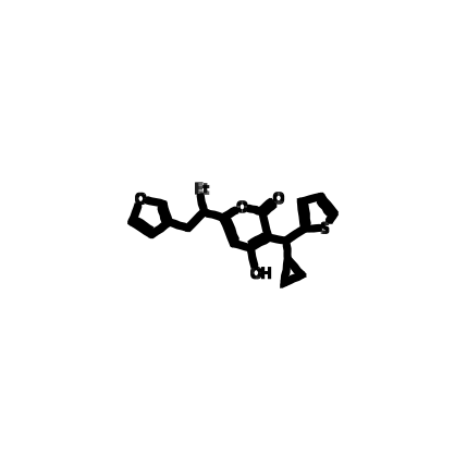 CCC(Cc1ccoc1)c1cc(O)c(C(c2cccs2)C2CC2)c(=O)o1